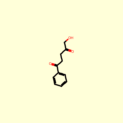 O=C(CO)CCC(=O)c1ccccc1